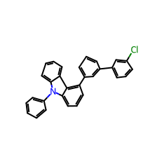 Clc1cccc(-c2cccc(-c3cccc4c3c3ccccc3n4-c3ccccc3)c2)c1